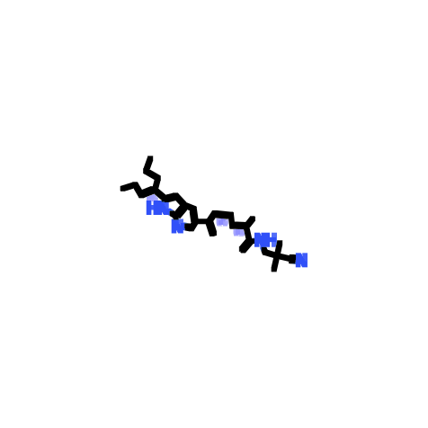 C=C(NCC(C)(C)C#N)/C(C)=C/C=C\C(=C)c1cnc2[nH]c(/C(=C/CC)CCC)cc2c1